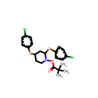 CC(C)(C)C(=O)ON1CCC(Sc2ccc(Br)cc2)CC1Sc1ccc(Br)cc1